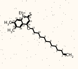 C=CCCCCCCCCCCCOc1cc(=S)n(CC)c2cc(C)c(C)cc12